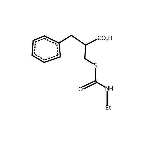 CCNC(=O)SCC(Cc1ccccc1)C(=O)O